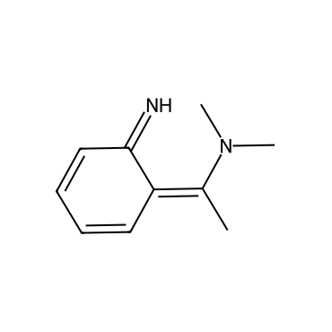 C/C(=C1\C=CC=CC1=N)N(C)C